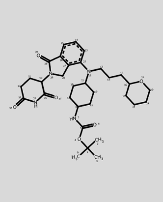 CC(C)(C)OC(=O)NC1CCC(N(CCCC2CCCCO2)c2cccc3c2CN(C2CCC(=O)NC2=O)C3=O)CC1